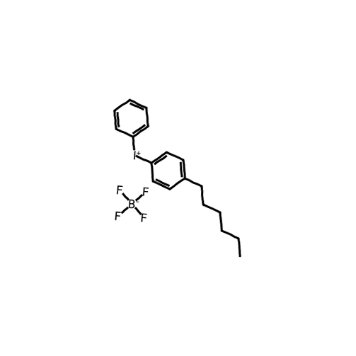 CCCCCCc1ccc([I+]c2ccccc2)cc1.F[B-](F)(F)F